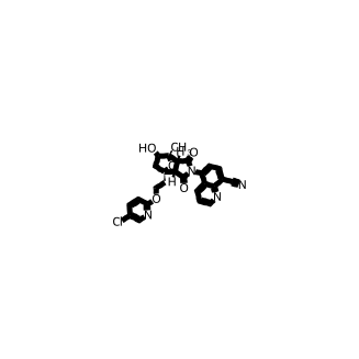 C[C@]12O[C@](CCOc3ccc(Cl)cn3)(CC1O)[C@H]1C(=O)N(c3ccc(C#N)c4ncccc34)C(=O)[C@H]12